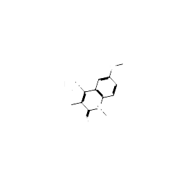 COc1ccc2c(c1)c(N)c(C)c(=O)n2C